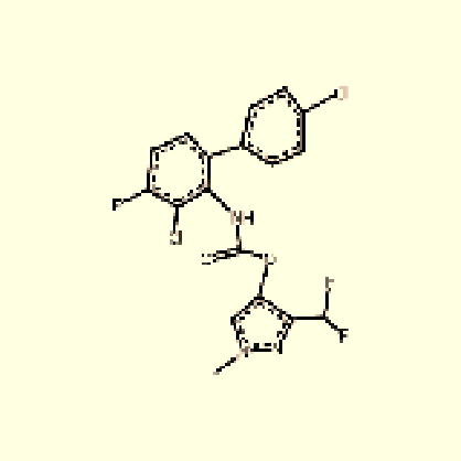 Cn1cc(OC(=O)Nc2c(-c3ccc(Cl)cc3)ccc(F)c2Cl)c(C(F)F)n1